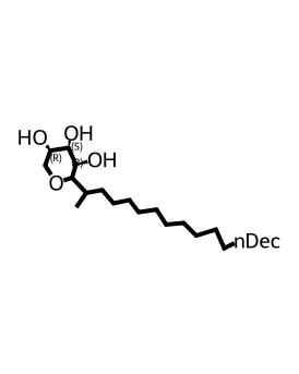 CCCCCCCCCCCCCCCCCCCCC(C)C1OC[C@@H](O)[C@H](O)[C@H]1O